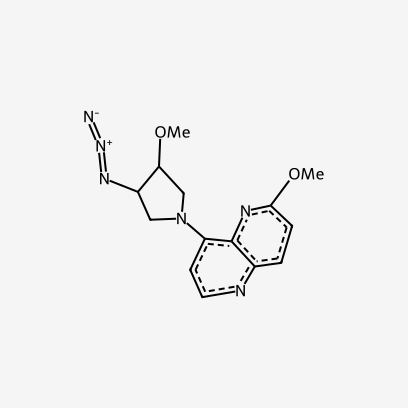 COc1ccc2nccc(N3CC(N=[N+]=[N-])C(OC)C3)c2n1